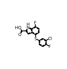 O=C(O)c1cc2c(Sc3ccc(F)c(Cl)c3)ccc(F)c2[nH]1